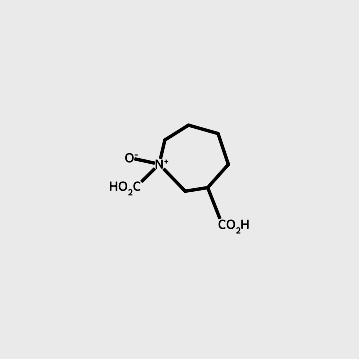 O=C(O)C1CCCC[N+]([O-])(C(=O)O)C1